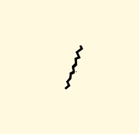 CCCC/C=[C]/C=CCCCCC